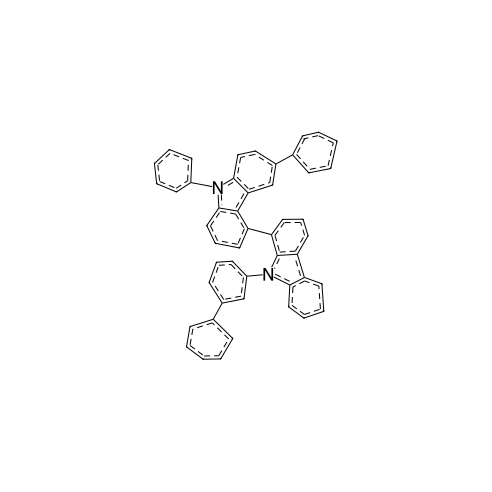 c1ccc(-c2cccc(-n3c4ccccc4c4cccc(-c5cccc6c5c5cc(-c7ccccc7)ccc5n6-c5ccccc5)c43)c2)cc1